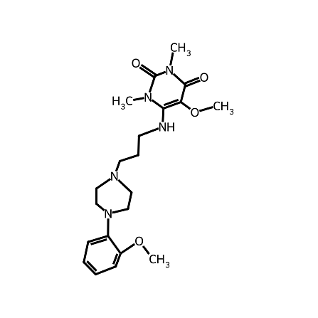 COc1ccccc1N1CCN(CCCNc2c(OC)c(=O)n(C)c(=O)n2C)CC1